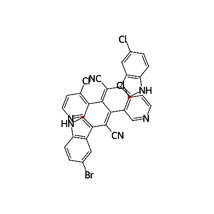 N#C/C(=C(/C(=C(/C#N)c1c[nH]c2ccc(Br)cc12)c1cnccc1Cl)c1cnccc1Cl)c1c[nH]c2ccc(Cl)cc12